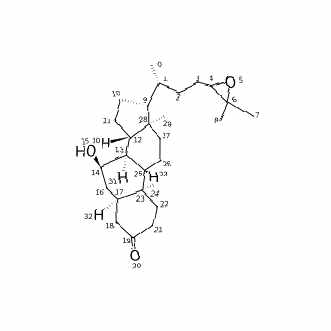 C[C@H](CCC1OC1(C)C)[C@H]1CC[C@H]2[C@@H]3[C@H](O)C[C@@H]4CC(=O)CC[C@]4(C)[C@H]3CC[C@]12C